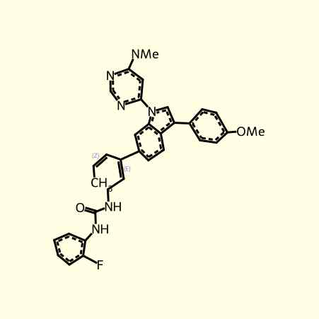 C/C=C\C(=C/CNC(=O)Nc1ccccc1F)c1ccc2c(-c3ccc(OC)cc3)cn(-c3cc(NC)ncn3)c2c1